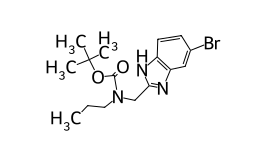 CCCN(Cc1nc2cc(Br)ccc2[nH]1)C(=O)OC(C)(C)C